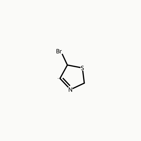 BrC1[C]=NCS1